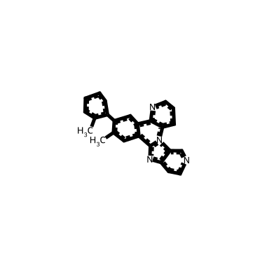 Cc1ccccc1-c1cc2c(cc1C)c1nc3ccncc3n1c1cccnc21